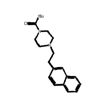 CC(C)(C)C(=O)N1CCN(CCc2ccc3ccccc3c2)CC1